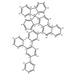 c1ccc(-c2cc(-c3ccccc3)c(-c3cccc(-c4nc5ccccc5c5ccc6c(c45)-c4ccccc4C64c5ccccc5-c5ccccc54)c3)cn2)cc1